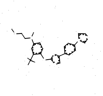 CNCCN(C)c1ccc(Nc2nc(-c3ccc(-n4ccnc4)cc3)cs2)c(C(F)(F)F)c1